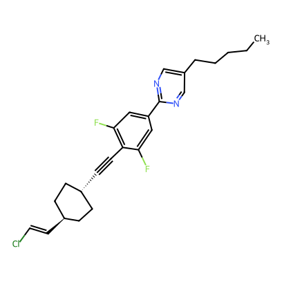 CCCCCc1cnc(-c2cc(F)c(C#C[C@H]3CC[C@H](C=CCl)CC3)c(F)c2)nc1